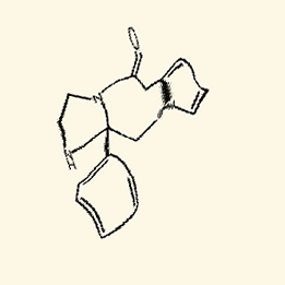 O=C1c2cccn2CC2(c3ccccc3)NCCN12